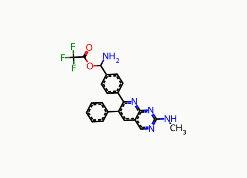 CNc1ncc2cc(-c3ccccc3)c(-c3ccc(C(N)OC(=O)C(F)(F)F)cc3)nc2n1